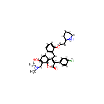 CN(C)Cc1c(O)ccc2c(Cc3ccccc3OCCC3CCCCN3)c(-c3ccc(Cl)cc3)c(=O)oc12